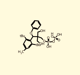 Cc1cc(C(C)(C)C)c(C(Oc2ccccc2)C(CO)(CO)COP(=O)(O)OP(=O)(O)O)c(C(C)(C)C)c1